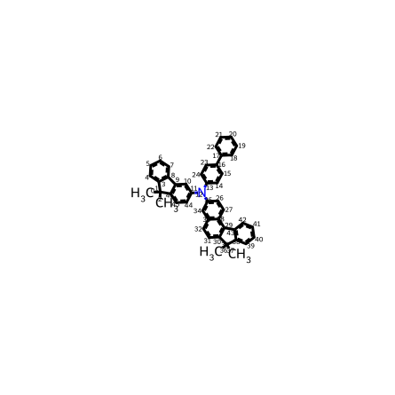 CC1(C)c2ccccc2-c2cc(N(c3ccc(-c4ccccc4)cc3)c3ccc4c5c(ccc4c3)C(C)(C)c3ccccc3-5)ccc21